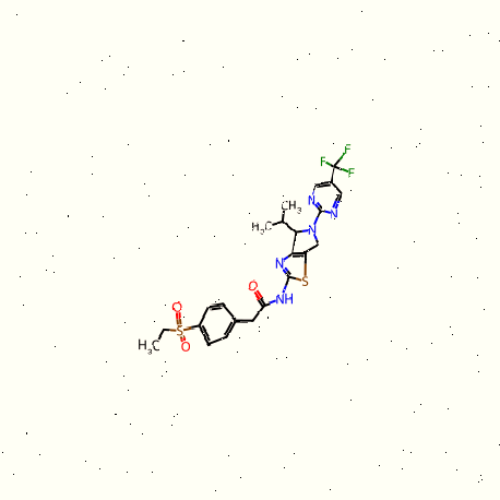 CCS(=O)(=O)c1ccc(CC(=O)Nc2nc3c(s2)CN(c2ncc(C(F)(F)F)cn2)C3C(C)C)cc1